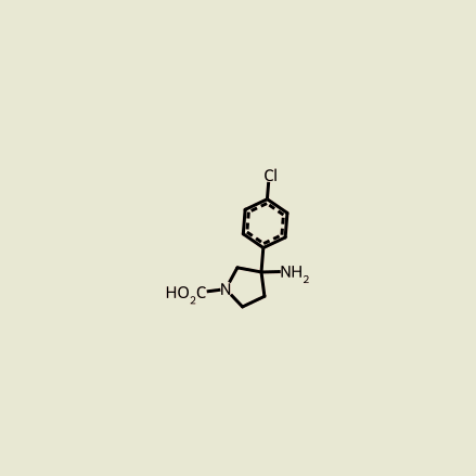 NC1(c2ccc(Cl)cc2)CCN(C(=O)O)C1